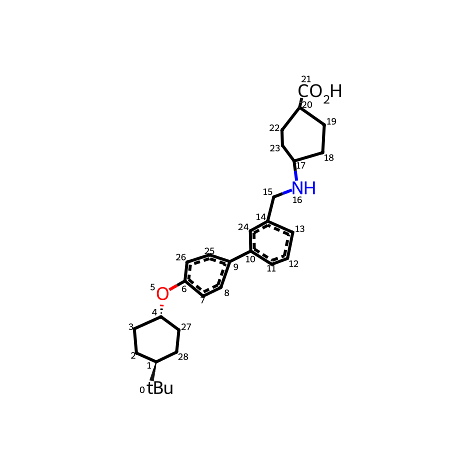 CC(C)(C)[C@H]1CC[C@H](Oc2ccc(-c3cccc(CNC4CCC(C(=O)O)CC4)c3)cc2)CC1